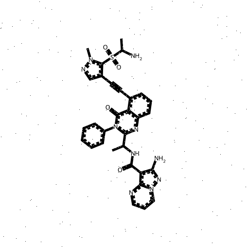 CC(NC(=O)c1c(N)nn2cccnc12)c1nc2cccc(C#Cc3cnn(C)c3S(=O)(=O)C(C)N)c2c(=O)n1-c1ccccc1